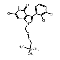 C[Si](C)(C)CCOCn1cc(-c2cccc(Cl)c2Cl)c2c(=O)[nH]c(Cl)cc21